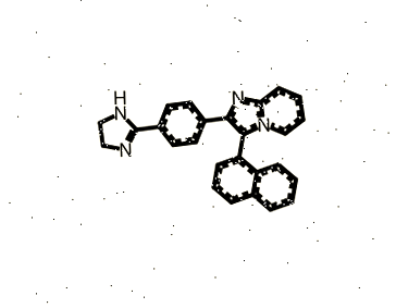 c1ccc2c(-c3c(-c4ccc(C5=NCCN5)cc4)nc4ccccn34)cccc2c1